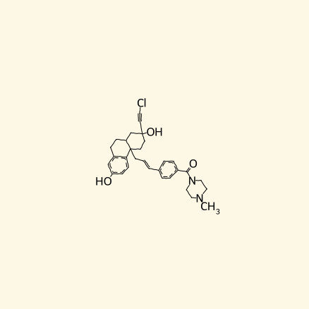 CN1CCN(C(=O)c2ccc(C=CCC34CCC(O)(C#CCl)CC3CCc3cc(O)ccc34)cc2)CC1